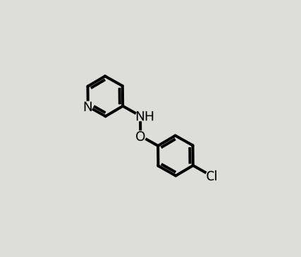 Clc1ccc(ONc2cccnc2)cc1